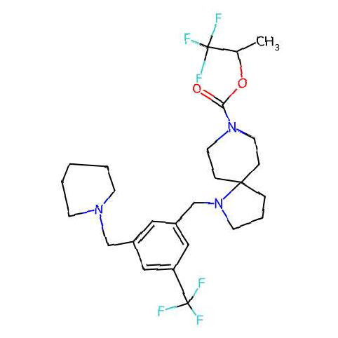 CC(OC(=O)N1CCC2(CCCN2Cc2cc(CN3CCCCC3)cc(C(F)(F)F)c2)CC1)C(F)(F)F